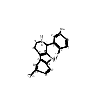 Fc1ccc(F)c(C2NCCc3c2[nH]c2ccc(Cl)cc32)c1